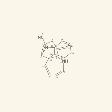 N#CN1C2=CCC(=O)C3NC=CC=CC23C2=C1C=CCC2